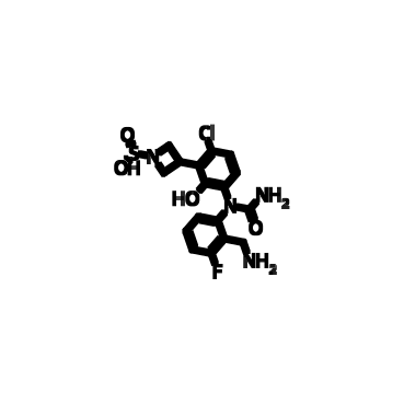 NCc1c(F)cccc1N(C(N)=O)c1ccc(Cl)c(C2CN([SH](=O)=O)C2)c1O